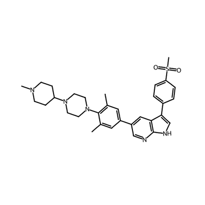 Cc1cc(-c2cnc3[nH]cc(-c4ccc(S(C)(=O)=O)cc4)c3c2)cc(C)c1N1CCN(C2CCN(C)CC2)CC1